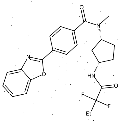 CCC(F)(F)C(=O)N[C@H]1CC[C@@H](N(C)C(=O)c2ccc(-c3nc4ccccc4o3)cc2)C1